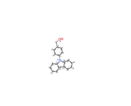 OCc1ccc(-n2c3ccccc3c3ccccc32)cc1